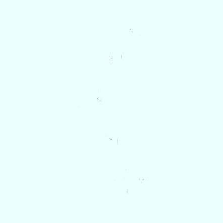 COP(=O)(O)Oc1ccc2c(c1)[C@@]1(C)CCC[C@](C)(C(=O)NC(=O)[C@@]3(C)CCC[C@]4(C)c5cc(N)ccc5CC[C@@H]34)[C@@H]1CC2